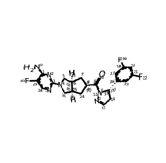 Nc1nc(N2C[C@H]3C[C@@H](C(=O)N4N=CC[C@H]4c4cc(F)cc(F)c4)C[C@H]3C2)ncc1F